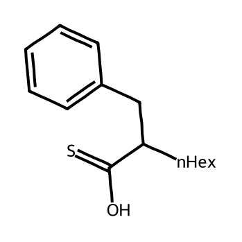 CCCCCCC(Cc1ccccc1)C(O)=S